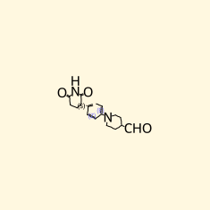 C=C(/C=C\C(=C/C)N1CCC(C=O)CC1)[C@@H]1CCC(=O)NC1=O